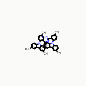 C=C(/N=C(\N)c1cc(C#N)ccc1-n1c2ccc(C#N)cc2c2cc(C#N)ccc21)c1cc(C#N)ccc1-n1c2ccc(C)cc2c2cc(C#N)ccc21